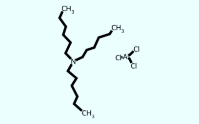 CCCCCCN(CCCCCC)CCCCCC.[Cl][Al]([Cl])[Cl]